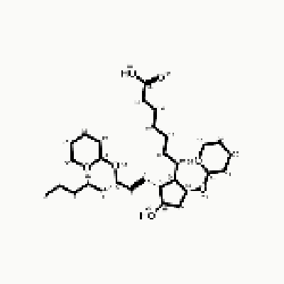 CCCCC[C@@H](/C=C/[C@@H]1[C@@H](CCCCCCC(=O)O)[C@@H](OC2CCCCO2)C[C@H]1O)OC1CCCCO1